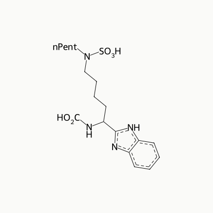 CCCCCN(CCCCC(NC(=O)O)c1nc2ccccc2[nH]1)S(=O)(=O)O